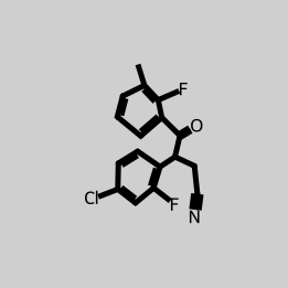 Cc1cccc(C(=O)C(CC#N)c2ccc(Cl)cc2F)c1F